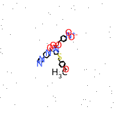 COc1ccc(CS[C@H]2C[C@@H](C(=O)N3CCC(n4ccnc4)CC3)N(C(=O)OCc3ccc([N+](=O)[O-])cc3)C2)cc1